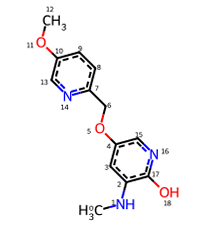 CNc1cc(OCc2ccc(OC)cn2)cnc1O